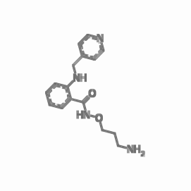 NCCCONC(=O)c1ccccc1NCc1ccncc1